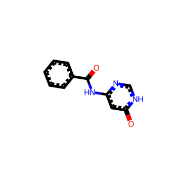 O=C(Nc1cc(=O)[nH]cn1)c1ccccc1